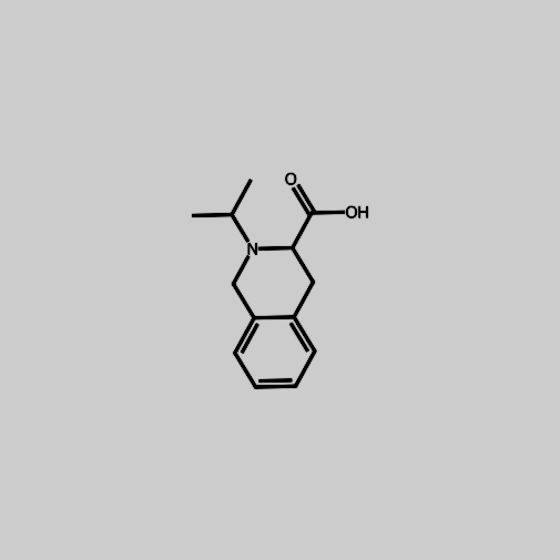 CC(C)N1Cc2ccccc2CC1C(=O)O